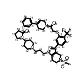 CS(=O)(=O)N1CCc2c(c(-c3ccc(C(F)(F)F)c(SCC(=O)N4CC=C(c5ccccc5)CC4)c3)nn2CCCN2CCC(N3CCCC3=O)CC2)C1